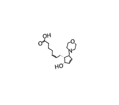 O=C(O)CCC/C=C\C[C@H]1[C@@H](O)C=C[C@@H]1N1CCOCC1